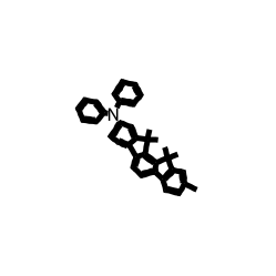 Cc1ccc2c(c1)C(C)(C)c1c-2ccc2c1C(C)(C)c1cc(N(c3ccccc3)c3ccccc3)ccc1-2